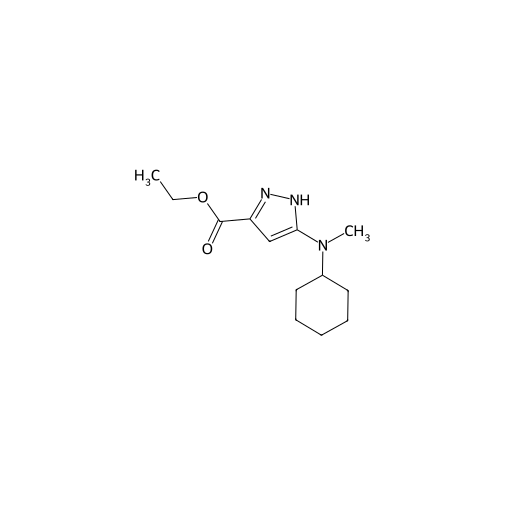 CCOC(=O)c1cc(N(C)C2CCCCC2)[nH]n1